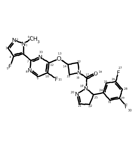 Cn1ncc(F)c1-c1ncc(F)c(OC2CN(C(=O)N3N=CCC3c3cc(F)cc(F)c3)C2)n1